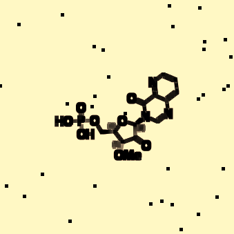 CO[C@H]1C(=O)[C@H](n2cnc3cccnc3c2=O)O[C@@H]1COP(=O)(O)O